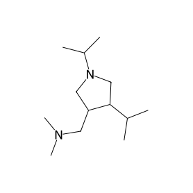 CC(C)C1CN(C(C)C)CC1CN(C)C